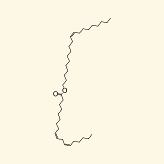 CCCCC/C=C\C/C=C\CCCCCCCC(=O)OCCCCCCCCCC/C=C\CCCCCCCC